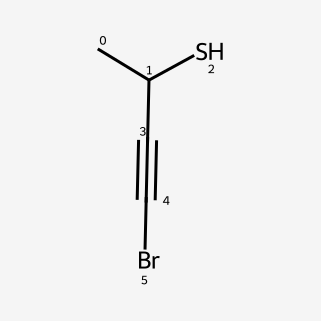 CC(S)C#CBr